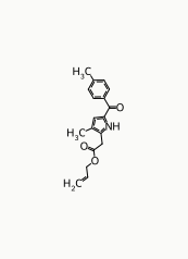 C=CCOC(=O)Cc1[nH]c(C(=O)c2ccc(C)cc2)cc1C